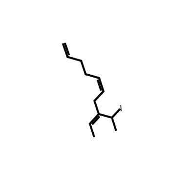 C=CCC/C=C\C/C(=C/C)C(C)I